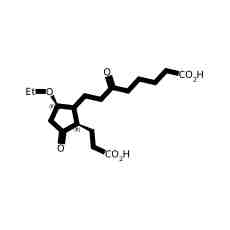 CCO[C@@H]1CC(=O)[C@H](CCC(=O)O)C1CCC(=O)CCCCC(=O)O